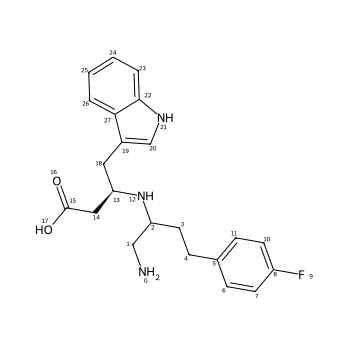 NCC(CCc1ccc(F)cc1)N[C@@H](CC(=O)O)Cc1c[nH]c2ccccc12